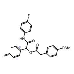 C=C/C=C\C(=C/C)C(OC(=O)Cc1ccc(OC)cc1)C(=O)Nc1ccc(F)cc1